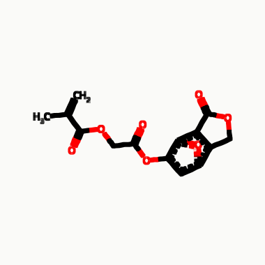 C=C(C)C(=O)OCC(=O)Oc1cc2oc1c1c2COC1=O